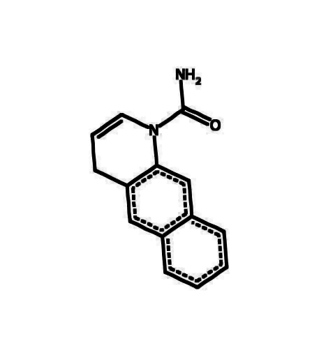 NC(=O)N1C=CCc2cc3ccccc3cc21